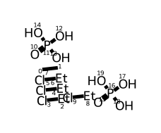 CC.CCCl.CCCl.CCCl.CCCl.O=P(O)(O)O.O=P(O)(O)O